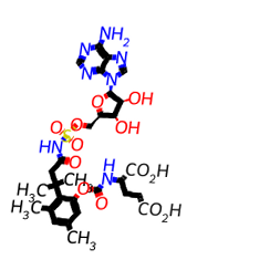 Cc1cc(C)c(C(C)(C)CC(=O)NS(=O)(=O)OC[C@H]2O[C@@H](n3cnc4c(N)ncnc43)[C@H](O)[C@@H]2O)c(OC(=O)NC(CCC(=O)O)C(=O)O)c1